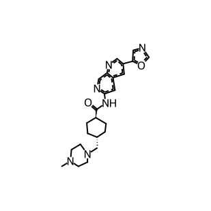 CN1CCN(C[C@H]2CC[C@H](C(=O)Nc3cc4cc(-c5cnco5)cnc4cn3)CC2)CC1